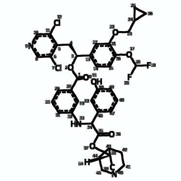 O=C(O[C@@H](Cc1c(Cl)cncc1Cl)c1ccc(OC(F)F)c(OCC2CC2)c1)c1cccc(NC(C(=O)O[C@H]2CN3CCC2CC3)c2cccc(O)c2)c1